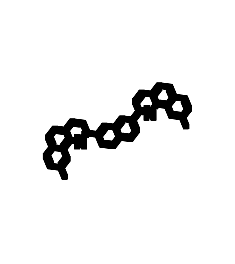 Cc1ccc2ccc3ccc(-c4ccc5ccc(-c6ccc7ccc8ccc(C)cc8c7n6)cc5c4)nc3c2c1